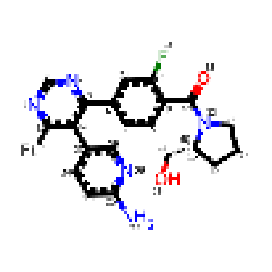 CCc1ncnc(-c2ccc(C(=O)N3CCC[C@@H]3CO)c(F)c2)c1-c1ccc(N)nc1